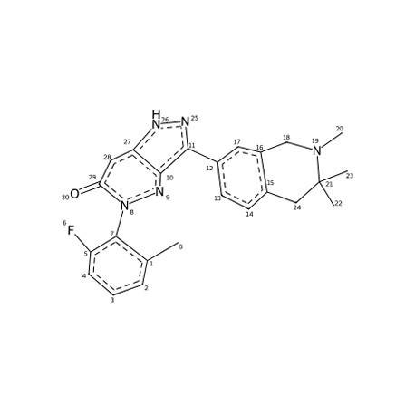 Cc1cccc(F)c1-n1nc2c(-c3ccc4c(c3)CN(C)C(C)(C)C4)n[nH]c2cc1=O